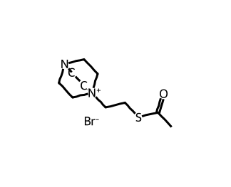 CC(=O)SCC[N+]12CCN(CC1)CC2.[Br-]